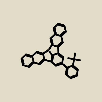 CC(C)(C)c1ccccc1-c1cc2c3cc4ccccc4cc3n3c4cc5ccccc5cc4c(c1)c23